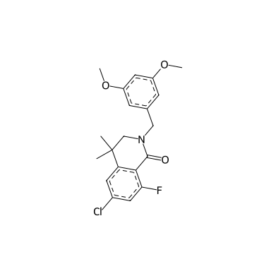 COc1cc(CN2CC(C)(C)c3cc(Cl)cc(F)c3C2=O)cc(OC)c1